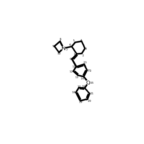 C(=C1/CCCCC1N1CCC1)/c1ccc(Oc2ccccc2)cc1